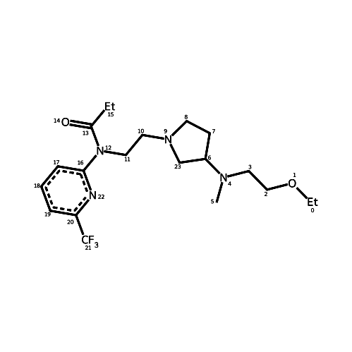 CCOCCN(C)C1CCN(CCN(C(=O)CC)c2cccc(C(F)(F)F)n2)C1